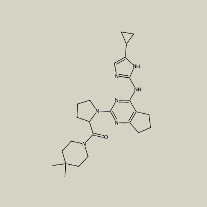 CC1(C)CCN(C(=O)C2CCCN2c2nc3c(c(Nc4ncc(C5CC5)[nH]4)n2)CCC3)CC1